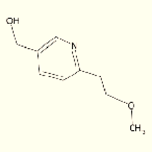 COCCc1ccc(CO)cn1